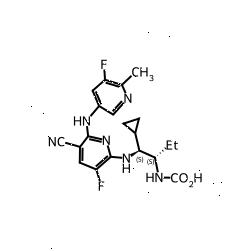 CC[C@H](NC(=O)O)[C@@H](Nc1nc(Nc2cnc(C)c(F)c2)c(C#N)cc1F)C1CC1